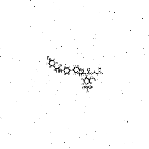 CNCCCC(=O)N(c1nc2ccc(-c3ccc(NC(=O)Cc4ccc(F)cc4)cc3)cn2n1)c1ccc(S(C)(=O)=O)cc1OC